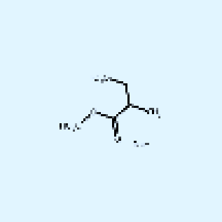 CC(CC(=O)O)C(=O)OC(=O)O.[NaH]